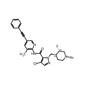 CC(=O)N1CC[C@@H](Cn2ncc(Cl)c2C(=O)Nc2ncc(C#Cc3ccccc3)cc2C)[C@H](F)C1